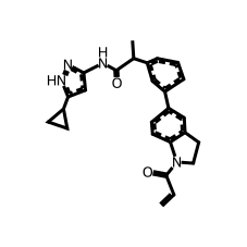 C=CC(=O)N1CCc2cc(-c3cccc(C(C)C(=O)Nc4cc(C5CC5)[nH]n4)c3)ccc21